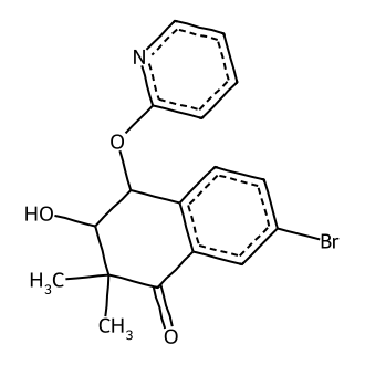 CC1(C)C(=O)c2cc(Br)ccc2C(Oc2ccccn2)C1O